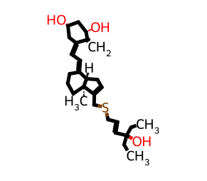 C=C1C(=CC=C2CCC[C@]3(C)C(CSC/C=C/C(O)(CC)CC)=CC[C@@H]23)C[C@@H](O)C[C@@H]1O